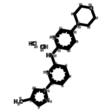 Cc1cnn(-c2cccc(Nc3ccc(N4CCOCC4)cn3)n2)c1.Cl.Cl